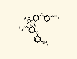 CC(CC(C)(C)c1ccc(Oc2cccc(N)c2)cc1)c1ccc(Oc2cccc(N)c2)cc1